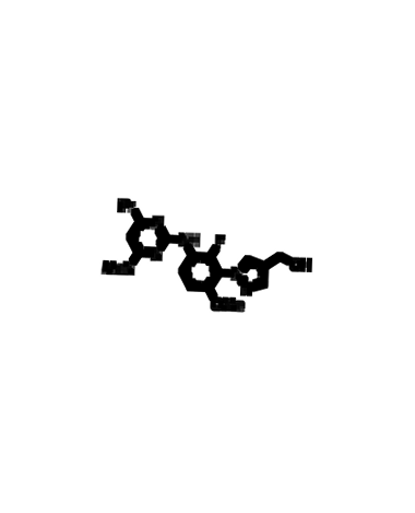 CNc1cc(C(C)C)nc(Nc2ccc(OC)c(-n3cc(CO)cn3)c2F)n1